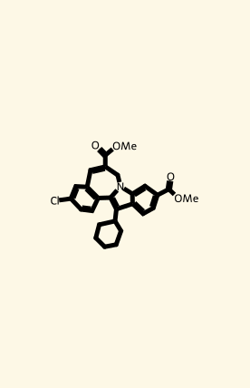 COC(=O)C1=Cc2cc(Cl)ccc2-c2c(C3CCCCC3)c3ccc(C(=O)OC)cc3n2C1